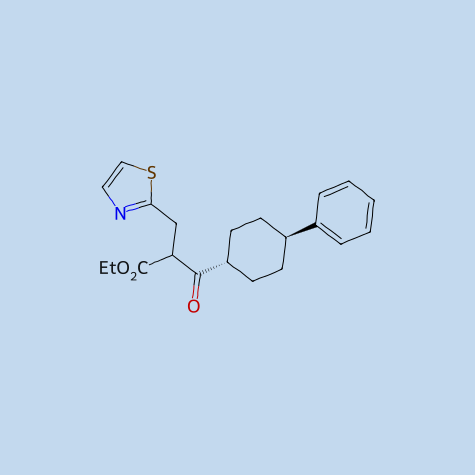 CCOC(=O)C(Cc1nccs1)C(=O)[C@H]1CC[C@H](c2ccccc2)CC1